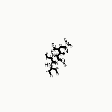 CCc1nc(-c2cnc(N(C)C)cc2C(F)F)c(OC)nc1NC(CC)CC